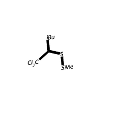 CCC(C)C(SSC)C(Cl)(Cl)Cl